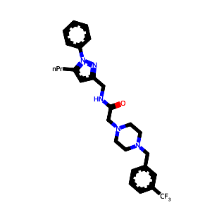 CCCc1cc(CNC(=O)CN2CCN(Cc3cccc(C(F)(F)F)c3)CC2)nn1-c1ccccc1